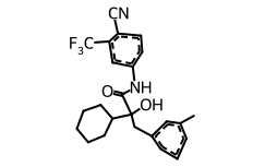 Cc1cccc(CC(O)(C(=O)Nc2ccc(C#N)c(C(F)(F)F)c2)C2CCCCC2)c1